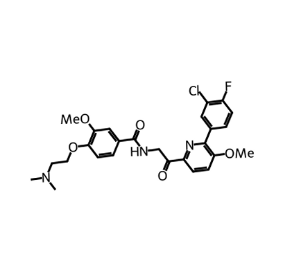 COc1cc(C(=O)NCC(=O)c2ccc(OC)c(-c3ccc(F)c(Cl)c3)n2)ccc1OCCN(C)C